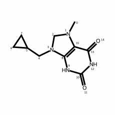 CN1CN(CC2CC2)c2[nH]c(=O)[nH]c(=O)c21